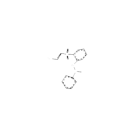 N#CC=CS(=O)(=O)c1ccccc1N[S+]([O-])c1ccccc1